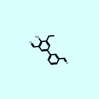 CCc1cc(-c2cccc(C=O)c2)cc(C=O)c1O